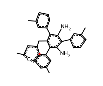 Cc1cccc(Cc2c(-c3cccc(C)c3)c(N)c(-c3cccc(C)c3)c(N)c2-c2cccc(C)c2)c1